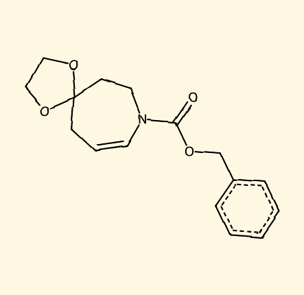 O=C(OCc1ccccc1)N1C=CCC2(CC1)OCCO2